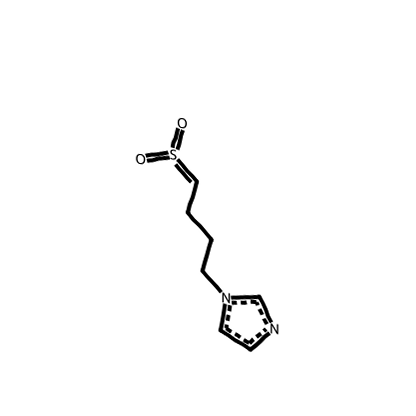 O=S(=O)=CCCCn1ccnc1